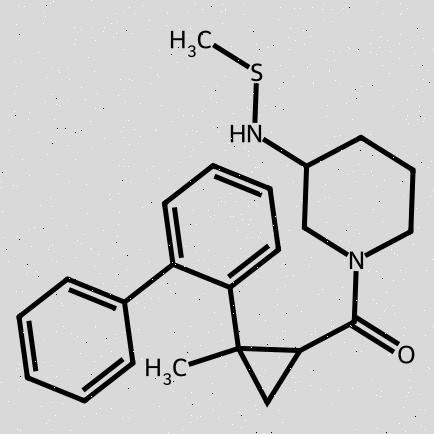 CSNC1CCCN(C(=O)C2CC2(C)c2ccccc2-c2ccccc2)C1